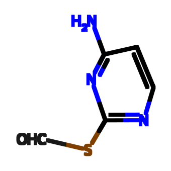 Nc1ccnc(SC=O)n1